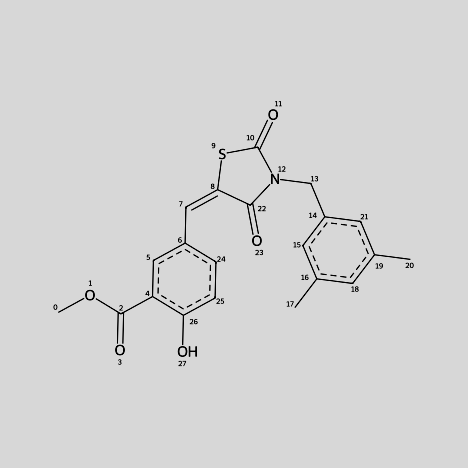 COC(=O)c1cc(/C=C2/SC(=O)N(Cc3cc(C)cc(C)c3)C2=O)ccc1O